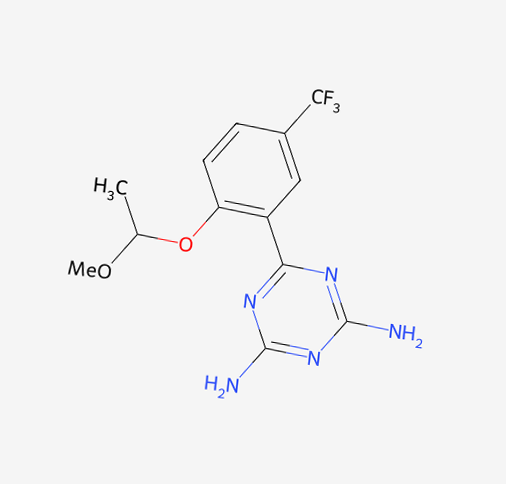 COC(C)Oc1ccc(C(F)(F)F)cc1-c1nc(N)nc(N)n1